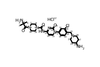 CC(C)(N)C(=O)N1CCN(C(=O)Nc2ccn(-c3ccc(CN4CCC(N)CC4)c(Cl)c3)c(=O)n2)CC1.Cl